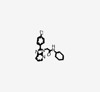 O=C(Cn1c(-c2ccc(Cl)cc2)nc2cccnc21)NC1CCCCC1